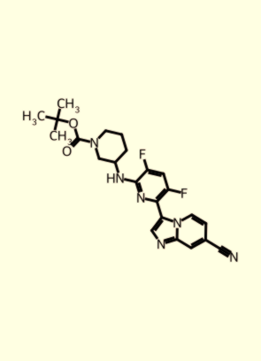 CC(C)(C)OC(=O)N1CCCC(Nc2nc(-c3cnc4cc(C#N)ccn34)c(F)cc2F)C1